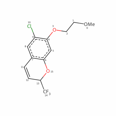 COCCOc1cc2c(cc1Cl)C=CC(C(F)(F)F)O2